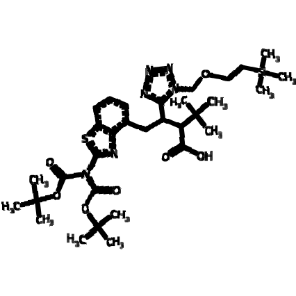 CC(C)(C)OC(=O)N(C(=O)OC(C)(C)C)c1nc2c(CC(c3nnnn3COCC[Si](C)(C)C)C(C(=O)O)C(C)(C)C)cccc2s1